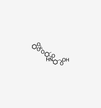 Cc1cc(OC[C@H]2COc3ccccc3O2)cc(C)c1C(=O)Nc1cccc(CC(=O)O)c1